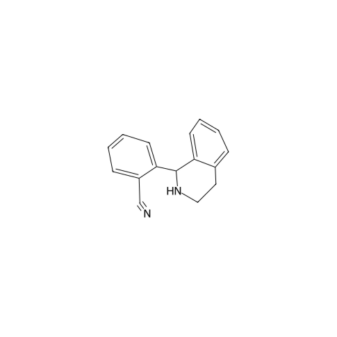 N#Cc1ccccc1C1NCCc2ccccc21